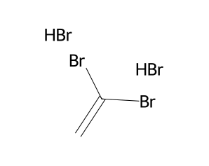 Br.Br.C=C(Br)Br